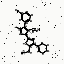 Cc1nn(-c2nc(C3=CCCCC3)c(SC(C)C)s2)c(C(=O)O)c1-c1cccc(F)c1